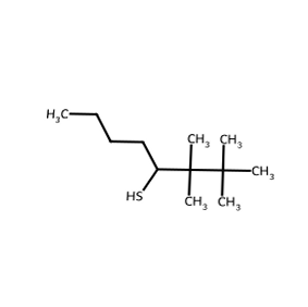 CCCCC(S)C(C)(C)C(C)(C)C